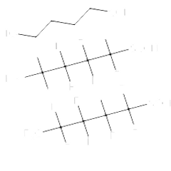 O=S(=O)(O)C(F)(F)C(F)(F)C(F)(F)C(F)(F)C(F)(F)F.O=S(=O)(O)C(F)(F)C(F)(F)C(F)(F)C(F)(F)C(F)(F)F.OCCCCO